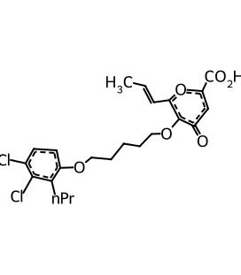 CC=Cc1oc(C(=O)O)cc(=O)c1OCCCCCOc1ccc(Cl)c(Cl)c1CCC